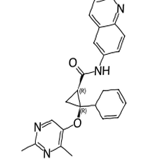 Cc1ncc(O[C@@]2(C3C=CC=CC3)C[C@H]2C(=O)Nc2ccc3ncccc3c2)c(C)n1